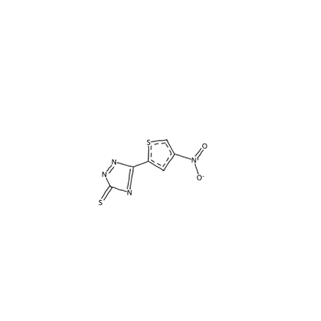 O=[N+]([O-])c1csc(C2=NC(=S)N=N2)c1